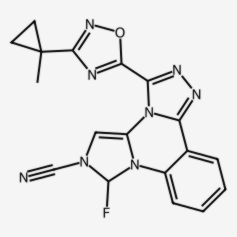 CC1(c2noc(-c3nnc4n3C3=CN(C#N)C(F)N3c3ccccc3-4)n2)CC1